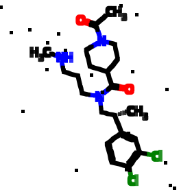 CNCCCN(C[C@H](C)c1ccc(Cl)c(Cl)c1)C(=O)C1CCN(C(C)=O)CC1